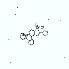 CC(C)(C)c1ccc2c(c1-c1ccccc1-c1ccccc1)C=C(c1ccccc1)[CH]2[Zr]([Cl])[Cl]